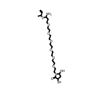 C=CC(C)OC(N)CCOCCOCCOCCOCCOCCOCCN1C(=O)C(S)CC1O